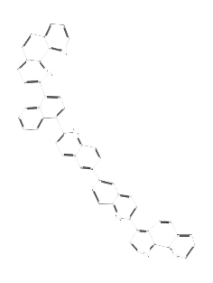 c1cnc2c(c1)ccc1ccc(-c3ccc(-c4ccc5cc(-c6ccc7nc(-c8ccnc9c8ccc8cccnc89)ccc7c6)ccc5n4)c4ccccc34)nc12